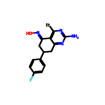 CCc1nc(N)nc2c1C(=NO)CC(c1ccc(F)cc1)C2